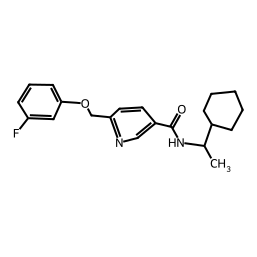 CC(NC(=O)c1ccc(COc2cccc(F)c2)nc1)C1CCCCC1